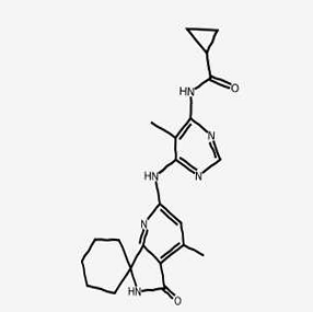 Cc1cc(Nc2ncnc(NC(=O)C3CC3)c2C)nc2c1C(=O)NC21CCCCC1